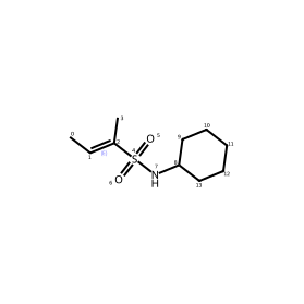 C/C=C(\C)S(=O)(=O)NC1CCCCC1